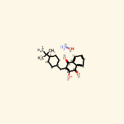 CC(C)(C)C1CCC(CC2=C(O)C(=O)c3ccccc3C2=O)CC1.NO